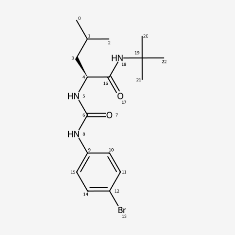 CC(C)C[C@H](NC(=O)Nc1ccc(Br)cc1)C(=O)NC(C)(C)C